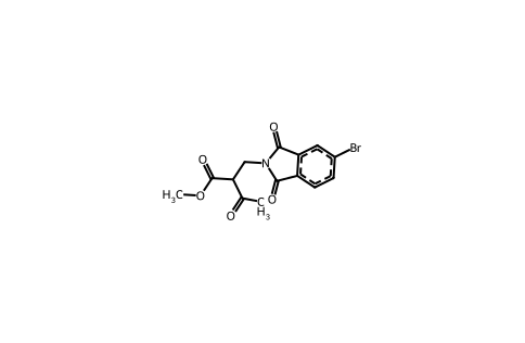 COC(=O)C(CN1C(=O)c2ccc(Br)cc2C1=O)C(C)=O